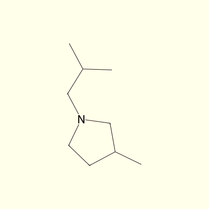 CC(C)CN1CCC(C)C1